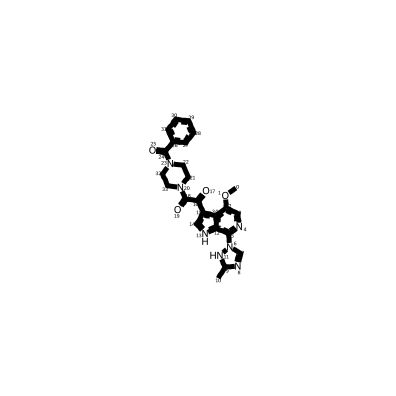 COc1cnc(N2C=NC(C)N2)c2[nH]cc(C(=O)C(=O)N3CCN(C(=O)c4ccccc4)CC3)c12